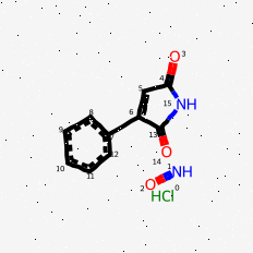 Cl.N=O.O=C1C=C(c2ccccc2)C(=O)N1